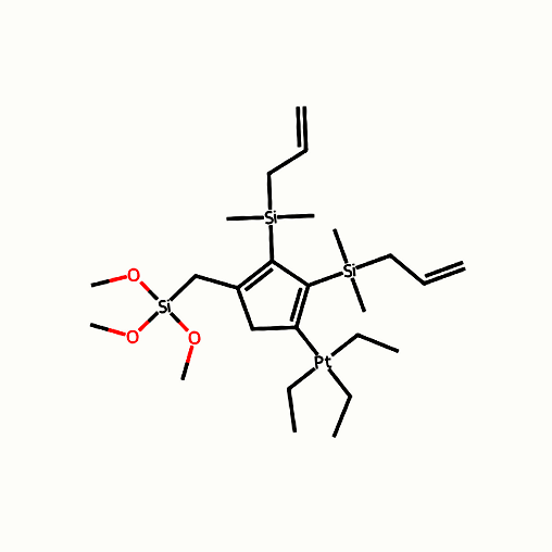 C=CC[Si](C)(C)C1=C(C[Si](OC)(OC)OC)C[C]([Pt]([CH2]C)([CH2]C)[CH2]C)=C1[Si](C)(C)CC=C